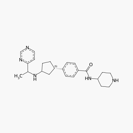 CC(NC1CC[C@H](c2ccc(C(=O)NC3CCNCC3)cc2)C1)c1ccncn1